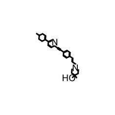 CC1CC=C(c2ccc(C#Cc3ccc(/C=C/CN4CCC(C)(O)CC4)cc3)nc2)CC1